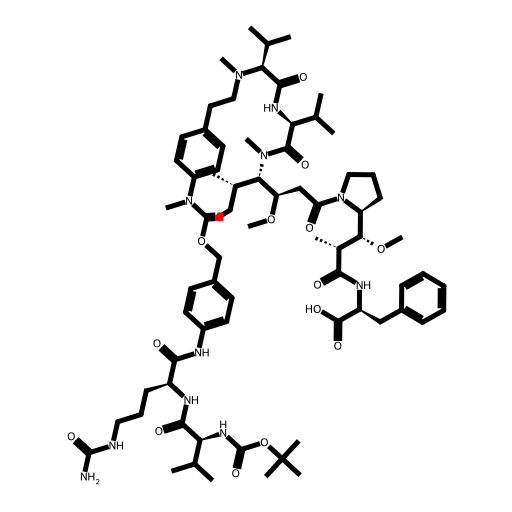 CC[C@H](C)[C@@H]([C@@H](CC(=O)N1CCC[C@H]1[C@H](OC)[C@@H](C)C(=O)N[C@@H](Cc1ccccc1)C(=O)O)OC)N(C)C(=O)[C@@H](NC(=O)[C@H](C(C)C)N(C)CCc1ccc(N(C)C(=O)OCc2ccc(NC(=O)[C@H](CCCNC(N)=O)NC(=O)[C@@H](NC(=O)OC(C)(C)C)C(C)C)cc2)cc1)C(C)C